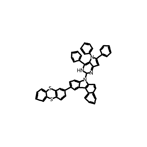 c1ccc(C2=c3c(cc(-c4ccccc4)n3-c3ccccc3)=NC(n3c4ccc(-c5ccc6c(c5)Sc5ccccc5S6)cc4c4c5ccccc5ccc43)N2)cc1